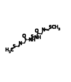 CS/C=N/CC(=O)NSNC(=O)C/N=C/SC